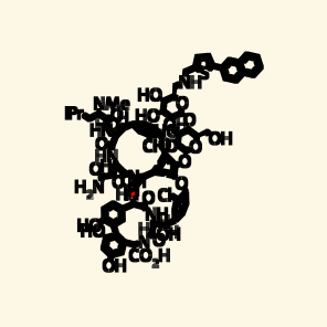 CN[C@H](CC(C)C)C(=O)NC1C(=O)N[C@@H](CC(N)=O)C(=O)N[C@H]2C(=O)N[C@H]3C(=O)N[C@H](C(=O)N[C@@H](C(=O)O)c4cc(O)cc(O)c4-c4cc3ccc4O)[C@H](O)c3ccc(c(Cl)c3)Oc3cc2cc(c3O[C@@H]2O[C@H](CO)[C@@H](O[C@@H]3O[C@H](CNCc4ccc(-c5ccc6ccccc6c5)s4)[C@H](O)[C@H](O)[C@H]3O)[C@H](O)[C@H]2O)Oc2ccc(cc2Cl)[C@H]1O